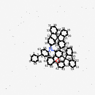 c1ccc(-c2ccc(N(c3ccc4c(c3)C3(c5ccccc5-c5ccccc53)c3ccccc3-4)c3ccc(C4(c5ccccc5)c5ccccc5-c5ccccc54)c4oc5ccccc5c34)cc2)cc1